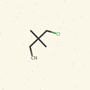 CC(C)(CCl)CC#N